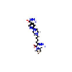 NC(=O)c1ccc(N2CCN(CCCCC(N)C(=O)N3CCSC3)CC2)nc1